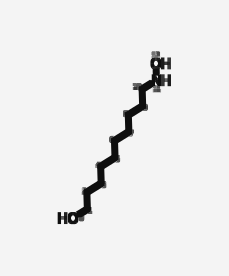 OCCCCCCCCCCNO